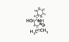 CC(C)[C@@H]1C[C@H](O)[C@H](CC2CCCCC2)NC1=O